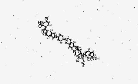 C=CCn1c(=O)c2cnc(Nc3ccc4c(c3)CCN(C3CCC(N5Cc6cc7onc(C8CCC(=O)NC8=O)c7cc6C5)CC3)C4)nc2n1-c1ccc2c(n1)[C@@](O)(CC)CC2